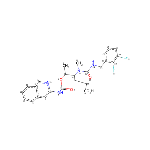 CC(OC(=O)Nc1cc2ccccc2cn1)C(CCC(=O)O)N(C)C(=O)NCc1cccc(F)c1F